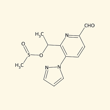 CC(OS(C)=O)c1nc(C=O)ccc1-n1cccn1